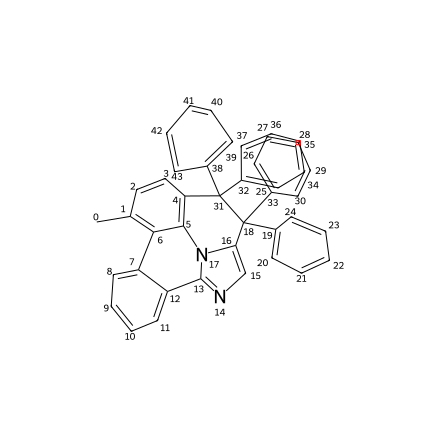 Cc1ccc2c3c1c1ccccc1c1ncc(n13)C(c1ccccc1)(c1ccccc1)C2(c1ccccc1)c1ccccc1